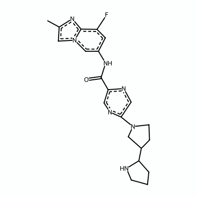 Cc1cn2cc(NC(=O)c3cnc(N4CCC(C5CCCN5)C4)cn3)cc(F)c2n1